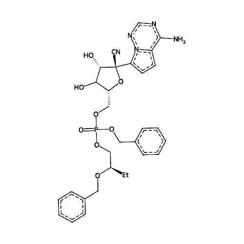 CC[C@H](COP(=O)(OCc1ccccc1)OC[C@H]1O[C@@](C#N)(c2ccc3c(N)ncnn23)[C@@H](O)C1O)OCc1ccccc1